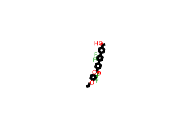 C=CCOc1ccc(OC(=O)C2CCC(c3ccc(C4CCC(C(C)O)CC4)c(F)c3F)CC2)c(F)c1F